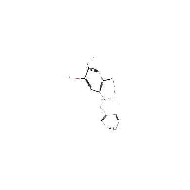 COc1cc2c(cc1O)C(Cc1ccccc1)N(C(C)=O)CC2